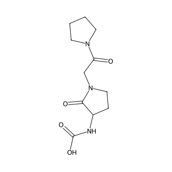 O=C(O)NC1CCN(CC(=O)N2CCCC2)C1=O